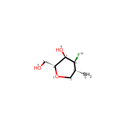 B[C@@H]1CO[C@H](CO)[C@@H](O)[C@H]1F